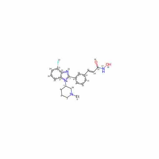 CCN1CCCC(n2c(-c3cccc(/C=C/C(=O)NO)c3)nc3c(F)cccc32)C1